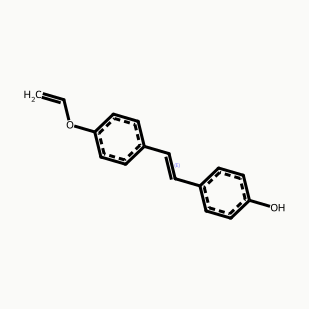 C=COc1ccc(/C=C/c2ccc(O)cc2)cc1